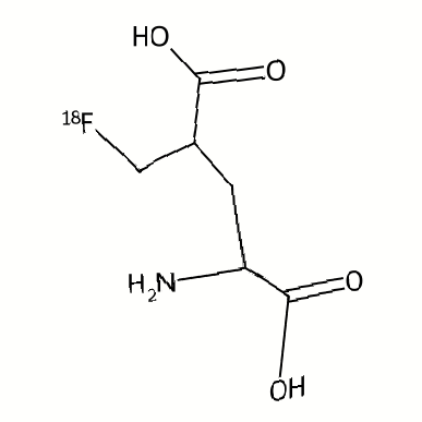 NC(CC(C[18F])C(=O)O)C(=O)O